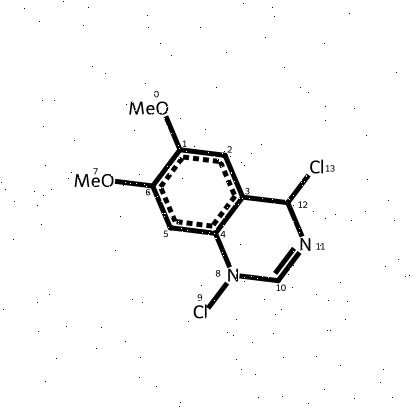 COc1cc2c(cc1OC)N(Cl)C=NC2Cl